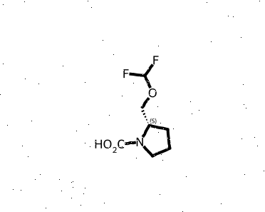 O=C(O)N1CCC[C@H]1COC(F)F